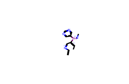 C=C\N=C/C(=C\C)[PH](=N/C)/c1cncnc1